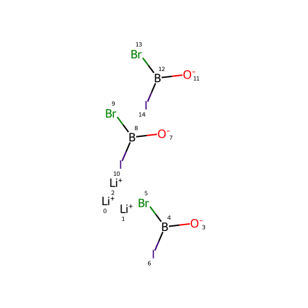 [Li+].[Li+].[Li+].[O-]B(Br)I.[O-]B(Br)I.[O-]B(Br)I